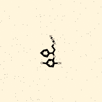 N#Cc1ccc(Cl)cc1OC(CCN=[N+]=[N-])c1ccccc1